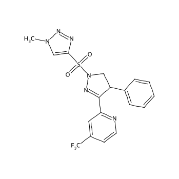 Cn1cc(S(=O)(=O)N2CC(c3ccccc3)C(c3cc(C(F)(F)F)ccn3)=N2)nn1